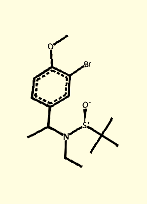 CCN(C(C)c1ccc(OC)c(Br)c1)[S@@+]([O-])C(C)(C)C